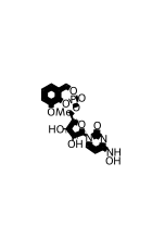 COc1cccc2c1OP(=O)(OC[C@H]1O[C@@H](n3ccc(NO)nc3=O)[C@H](O)[C@@H]1O)OC2